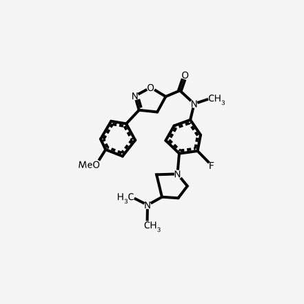 COc1ccc(C2=NOC(C(=O)N(C)c3ccc(N4CCC(N(C)C)C4)c(F)c3)C2)cc1